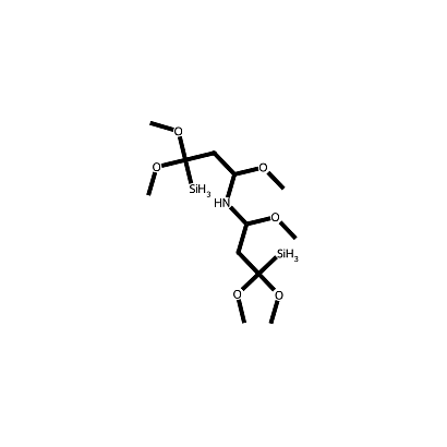 COC(CC([SiH3])(OC)OC)NC(CC([SiH3])(OC)OC)OC